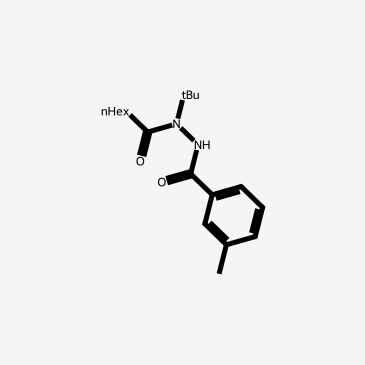 CCCCCCC(=O)N(NC(=O)c1cccc(C)c1)C(C)(C)C